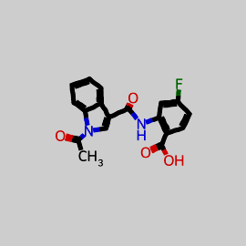 CC(=O)n1cc(C(=O)Nc2cc(F)ccc2C(=O)O)c2ccccc21